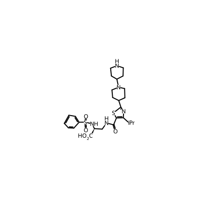 CC(C)c1nc(C2CCN(C3CCNCC3)CC2)sc1C(=O)NC[C@H](NS(=O)(=O)c1ccccc1)C(=O)O